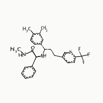 CNC(=O)C(NC(CCc1ccc(C(F)(F)F)nc1)c1ccc(C)c(C)c1)c1ccccc1